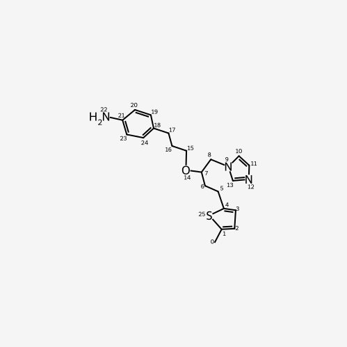 Cc1ccc(CCC(Cn2ccnc2)OCCCc2ccc(N)cc2)s1